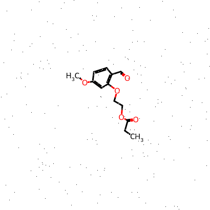 CCC(=O)OCCOc1cc(OC)ccc1C=O